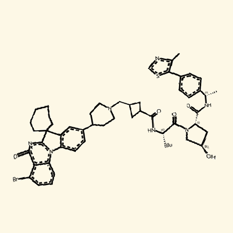 Cc1ncsc1-c1ccc([C@H](C)NC(=O)[C@@H]2C[C@@H](O)CN2C(=O)[C@@H](NC(=O)C2CC(CN3CCC(c4ccc5c(c4)C4(CCCCC4)c4nc(=O)c6c(Br)cccc6n4-5)CC3)C2)C(C)(C)C)cc1